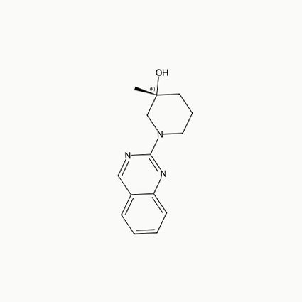 C[C@@]1(O)CCCN(c2ncc3ccccc3n2)C1